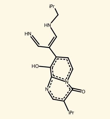 CC(C)CN/C=C(\C=N)c1ccn2c(=O)c(C(C)C)cnc2c1O